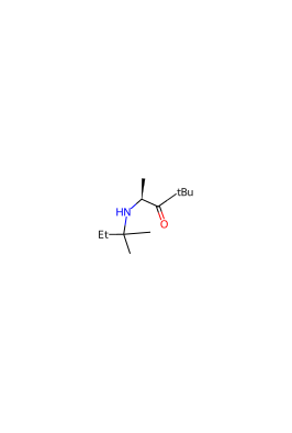 CCC(C)(C)N[C@@H](C)C(=O)C(C)(C)C